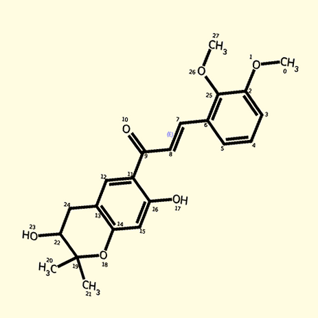 COc1cccc(/C=C/C(=O)c2cc3c(cc2O)OC(C)(C)C(O)C3)c1OC